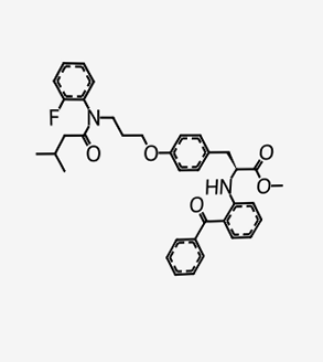 COC(=O)[C@H](Cc1ccc(OCCCN(C(=O)CC(C)C)c2ccccc2F)cc1)Nc1ccccc1C(=O)c1ccccc1